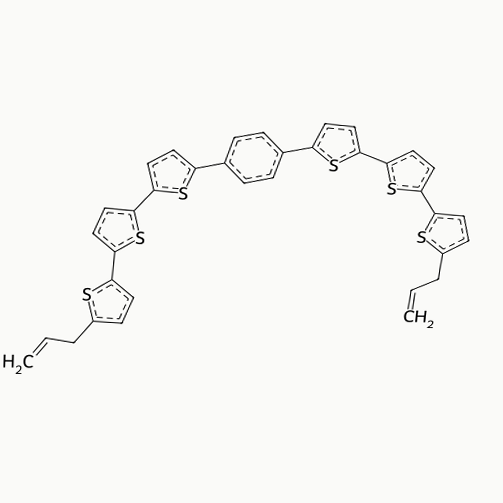 C=CCc1ccc(-c2ccc(-c3ccc(-c4ccc(-c5ccc(-c6ccc(-c7ccc(CC=C)s7)s6)s5)cc4)s3)s2)s1